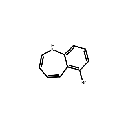 Brc1cccc2c1C=CC=CN2